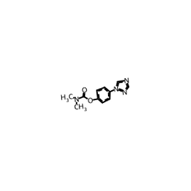 CN(C)C(=O)Oc1ccc(-n2cncn2)cc1